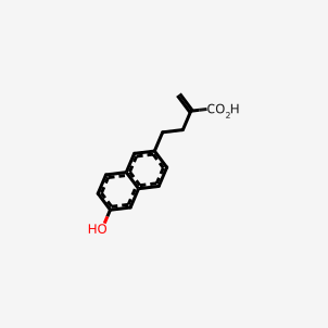 C=C(CCc1ccc2cc(O)ccc2c1)C(=O)O